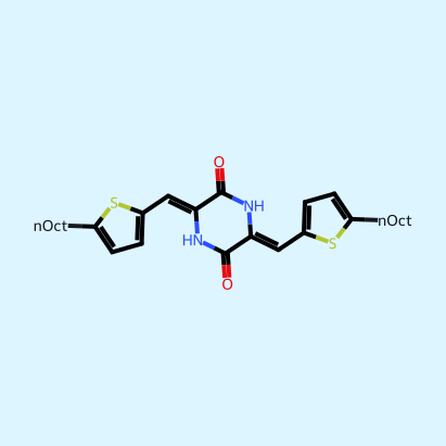 CCCCCCCCc1ccc(/C=c2\[nH]c(=O)/c(=C/c3ccc(CCCCCCCC)s3)[nH]c2=O)s1